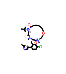 Cc1ncc(-c2ccc(Cl)cc2C[C@H]2C(=O)N(C)CCOCCCCCC(=O)N[C@@H](CC(C)C)C(=O)N2C)s1